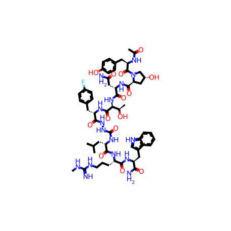 CNC(=N)NCCC[C@H](NC(=O)[C@H](CC(C)C)NC(=O)NNC(=O)[C@H](Cc1ccc(F)cc1)NC(=O)[C@@H](NC(=O)[C@H](CC(N)=O)NC(=O)[C@@H]1C[C@@H](O)CN1C(=O)[C@@H](Cc1ccc(O)cc1)NC(C)=O)[C@@H](C)O)C(=O)N[C@@H](Cc1c[nH]c2ccccc12)C(N)=O